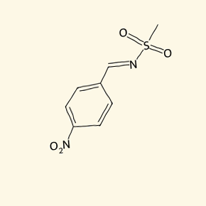 CS(=O)(=O)N=Cc1ccc([N+](=O)[O-])cc1